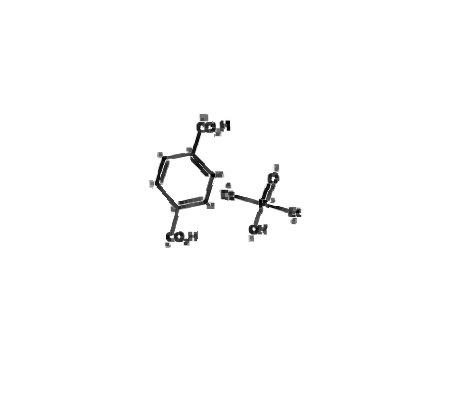 CCP(=O)(O)CC.O=C(O)c1ccc(C(=O)O)cc1